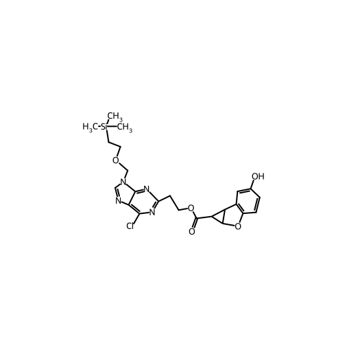 C[Si](C)(C)CCOCn1cnc2c(Cl)nc(CCOC(=O)C3C4Oc5ccc(O)cc5C43)nc21